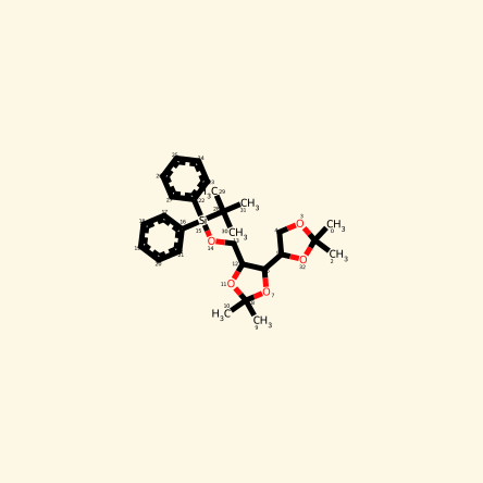 CC1(C)OCC(C2OC(C)(C)OC2CO[Si](c2ccccc2)(c2ccccc2)C(C)(C)C)O1